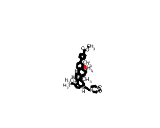 C=C(C)C1=CCC2(NCCN3CCS(=O)(=O)CC3)CC[C@]3(N)[C@H](CC[C@@H]4[C@@]5(C)CC=C(c6ccc(C(=O)OC)cc6)C(C)(C)[C@@H]5CC[C@]43C)[C@@H]12